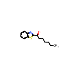 CCCCCCC(=O)c1nc2ccccc2s1